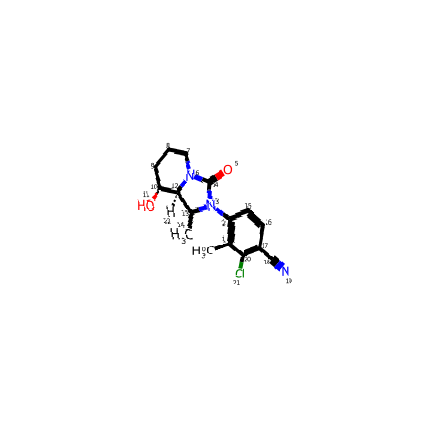 Cc1c(N2C(=O)N3CCC[C@H](O)[C@@H]3C2C)ccc(C#N)c1Cl